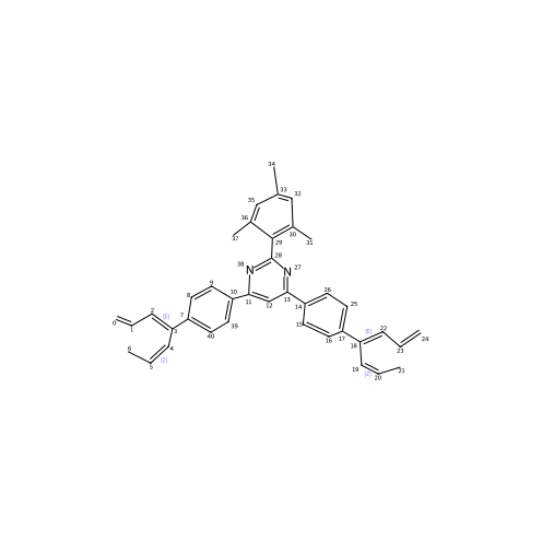 C=C/C=C(\C=C/C)c1ccc(-c2cc(-c3ccc(C(/C=C\C)=C/C=C)cc3)nc(-c3c(C)cc(C)cc3C)n2)cc1